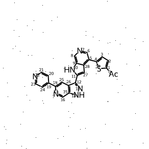 CC(=O)c1ccc(-c2cncc3[nH]c(-c4n[nH]c5cnc(-c6ccncc6)cc45)cc23)s1